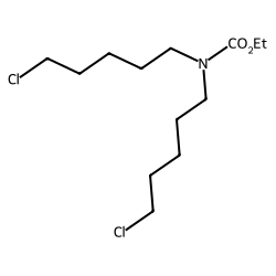 CCOC(=O)N(CCCCCCl)CCCCCCl